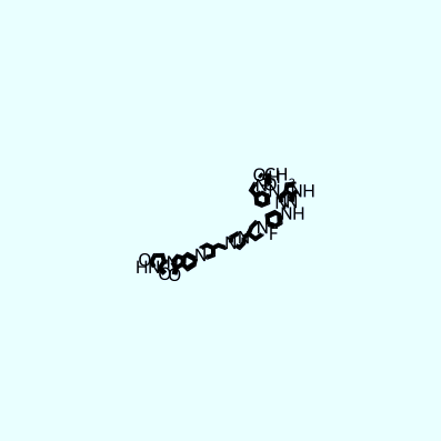 CS(=O)(=O)N1CCc2cccc(Nc3nc(Nc4ccc(N5CCC(N6CCN(CCC7CCN(c8ccc9c(c8)CN(C8CCC(=O)NC8=O)C9=O)CC7)CC6)CC5)c(F)c4)nc4[nH]ccc34)c21